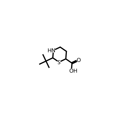 CC(C)(C)C1NCCC(C(=O)O)S1